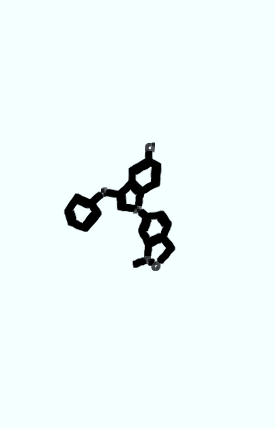 CB1OCc2ccc(-n3cc(Sc4ccccc4)c4cc(Cl)ccc43)cc21